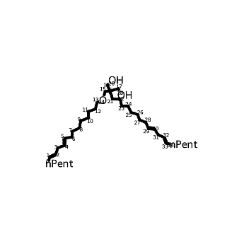 CCCCCC=CCC=CCCCCCCCCOCC(CO)(CO)CCCCCCCCC=CCC=CCCCCC